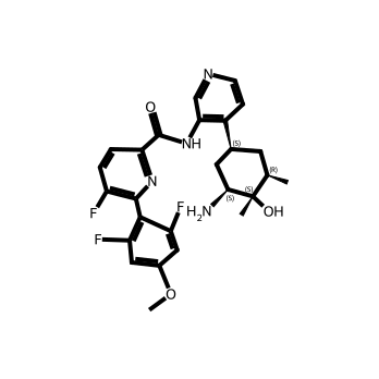 COc1cc(F)c(-c2nc(C(=O)Nc3cnccc3[C@H]3C[C@@H](C)[C@](C)(O)[C@@H](N)C3)ccc2F)c(F)c1